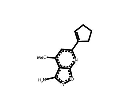 COc1cc(C2=CCCC2)nc2onc(N)c12